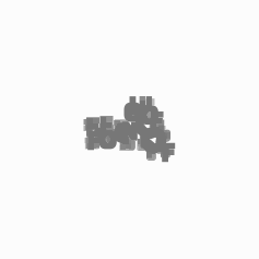 O=C([O-])C(c1ccc(F)cc1F)N1CC(OC(F)(F)F)C1.[Li+]